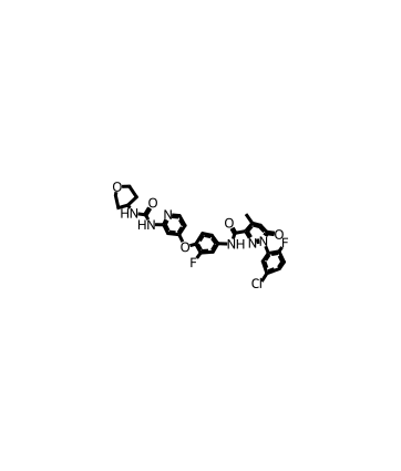 Cc1cc(=O)n(-c2cc(Cl)ccc2F)nc1C(=O)Nc1ccc(Oc2ccnc(NC(=O)NC3CCOCC3)c2)c(F)c1